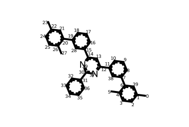 Cc1ccc(C)c(-c2cccc(-c3cc(-c4cccc(-c5cc(C)ccc5C)c4)nc(-c4ccccc4)n3)c2)c1